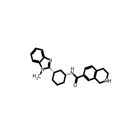 Cn1c([C@H]2CCC[C@@H](NC(=O)c3ccc4c(c3)CNCC4)C2)nc2ccccc21